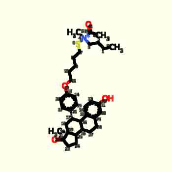 CCCC[N+](C)(SCCCCCOc1ccc([C@H]2C[C@]3(C)C(=O)CCC3C3CCc4cc(O)ccc4C32)cc1)C(C)=O